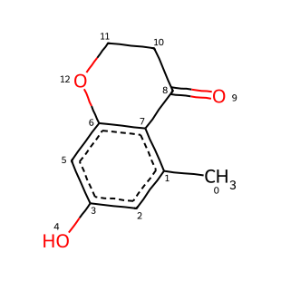 Cc1cc(O)cc2c1C(=O)CCO2